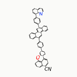 N#Cc1ccc2c3c(cccc13)Oc1cc(-c3ccc(-c4cc5c6ccccc6c(-c6ccc(-c7cccc8cccnc78)cc6)cc5c5ccccc45)cc3)ccc1-2